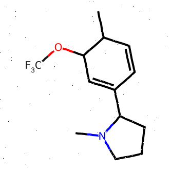 CC1C=CC(C2CCCN2C)=CC1OC(F)(F)F